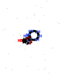 CC(=O)N(c1ccc(O)cc1O)[C@@H](CC(N)=O)C(=O)N1CCNCCNCCNCCNCCNCC1